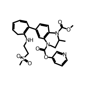 COC(=O)N1c2ccc(C3=C(NCCS(C)(=O)=O)CC=CC=C3)cc2N(C(=O)Oc2cccnc2)CC1C